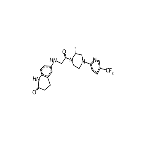 C[C@@H]1CN(c2ccc(C(F)(F)F)cn2)CCN1C(=O)CNc1ccc2c(c1)CCC(=O)N2